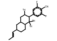 [2H]C1CC2CC(/C=C/C)CCC2C([2H])([2H])C1c1cc(F)c(C#N)c(F)c1